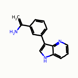 C=C(N)c1cccc(-c2c[nH]c3cccnc23)c1